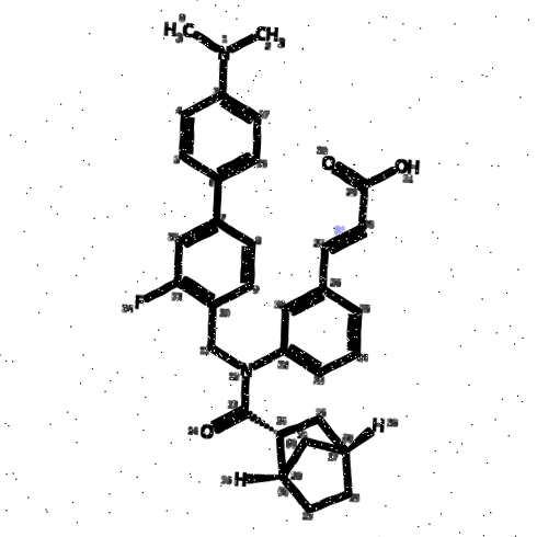 CN(C)c1ccc(-c2ccc(CN(C(=O)[C@@H]3C[C@@H]4CC[C@H]3C4)c3cccc(/C=C/C(=O)O)c3)c(F)c2)cc1